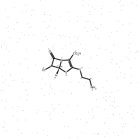 CCC1C(=O)N2C(C(=O)O)=C(SCCN)S[C@H]12